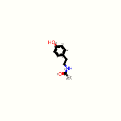 CCC(=O)NCCc1ccc(O)cc1